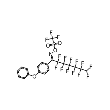 O=S(=O)(ON=C(c1ccc(Oc2ccccc2)cc1)C(F)(F)C(F)(F)C(F)(F)C(F)(F)C(F)(F)C(F)F)C(F)(F)F